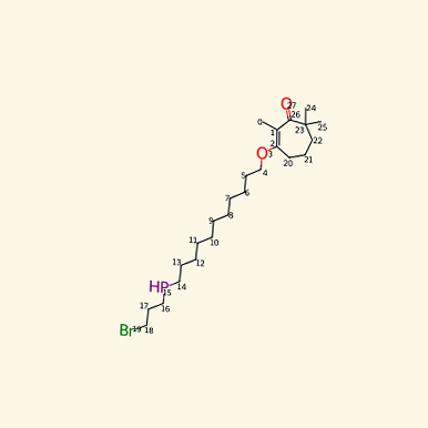 CC1=C(OCCCCCCCCCCCPCCCBr)CCCC(C)(C)C1=O